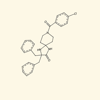 O=C(c1ccc(Cl)cc1)N1CCC2(CC1)NC(=O)C(Cc1ccccc1)(Cc1ccccc1)N2